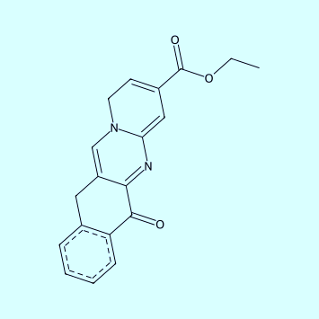 CCOC(=O)C1=CCN2C=C3Cc4ccccc4C(=O)C3=NC2=C1